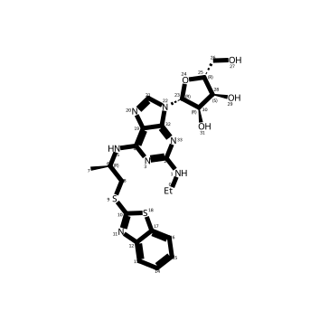 CCNc1nc(N[C@H](C)CSc2nc3ccccc3s2)c2ncn([C@@H]3O[C@H](CO)[C@@H](O)[C@H]3O)c2n1